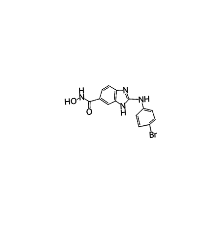 O=C(NO)c1ccc2nc(Nc3ccc(Br)cc3)[nH]c2c1